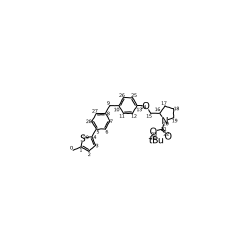 Cc1ccc(-c2ccc(Cc3ccc(OCC4CCCN4C(=O)OC(C)(C)C)cc3)cc2)s1